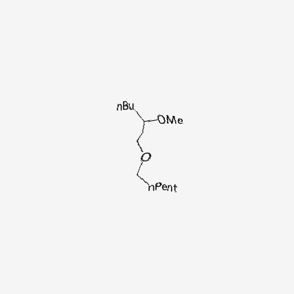 [CH2]CCCCCOCC(CCCC)OC